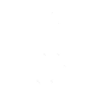 Nc1cc2c(Nc3ccc(C(=O)c4ncc[nH]4)c(Cl)c3)ncnc2cn1